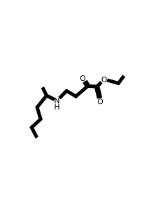 CCCCC(C)NCCC(=O)C(=O)OCC